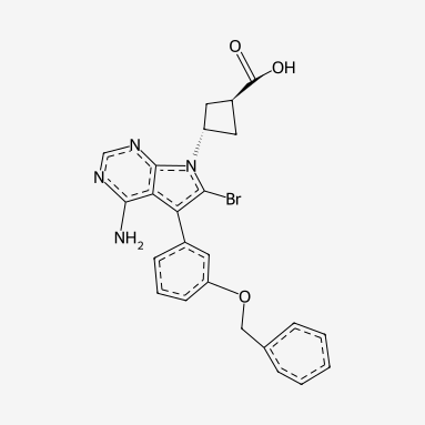 Nc1ncnc2c1c(-c1cccc(OCc3ccccc3)c1)c(Br)n2[C@H]1C[C@H](C(=O)O)C1